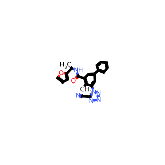 Cc1c(C(=O)NC(C)c2ccco2)cc(-c2ccccc2)cc1-n1nnnc1C#N